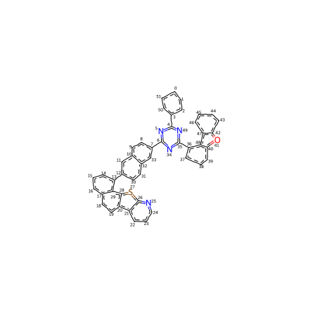 c1ccc(-c2nc(-c3ccc4cc(-c5cccc6ccc7c8cccnc8sc7c56)ccc4c3)nc(-c3cccc4oc5ccccc5c34)n2)cc1